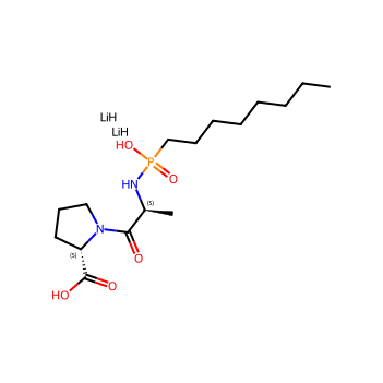 CCCCCCCCP(=O)(O)N[C@@H](C)C(=O)N1CCC[C@H]1C(=O)O.[LiH].[LiH]